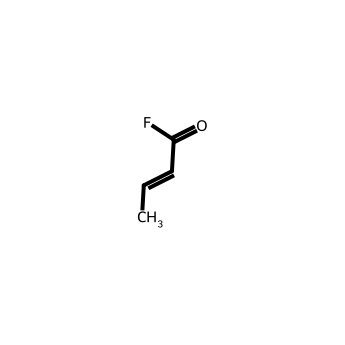 C/C=C/C(=O)F